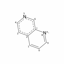 C1=Cc2ccncc2[N+]=C1